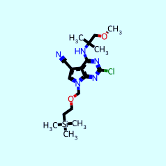 COCC(C)(C)Nc1nc(Cl)nc2c1c(C#N)cn2COCC[Si](C)(C)C